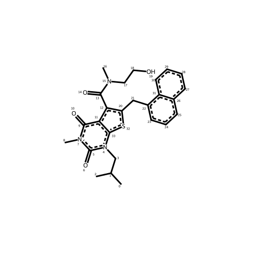 CC(C)Cn1c(=O)n(C)c(=O)c2c(C(=O)N(C)CCO)c(Cc3cccc4ccccc34)sc21